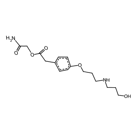 NC(=O)COC(=O)Cc1ccc(OCCCNCCCO)cc1